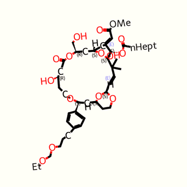 CCCCCCCC(=O)O[C@H]1/C(=C/C(=O)OC)C[C@H]2C[C@H](CO)OC(=O)C[C@H](O)CCO[C@H](c3ccc(CCCOCOCC)cc3)C[C@@H]3CCO[C@H](/C=C/C(C)(C)[C@]1(O)O2)O3